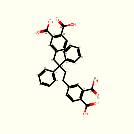 O=C(O)c1ccc(CCC(Cc2ccc(C(=O)O)c(C(=O)O)c2)(c2ccccc2)c2ccccc2)cc1C(=O)O